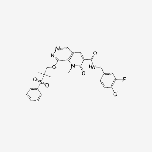 Cn1c(=O)c(C(=O)NCc2ccc(Cl)c(F)c2)cc2cnnc(OCC(C)(C)S(=O)(=O)c3ccccc3)c21